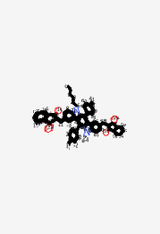 CCCCCCn1c2ccc(C=C3C(=O)c4ccccc4C3=O)cc2c2c(-c3ccc(C)cc3)c3c(c(-c4ccc(C)cc4)c21)c1cc(C=C2C(=O)c4ccccc4C2=O)ccc1n3C